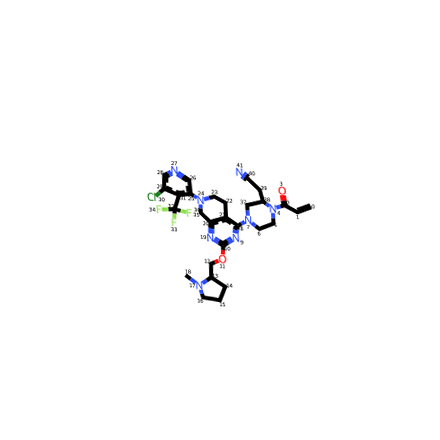 C=CC(=O)N1CCN(c2nc(OCC3CCCN3C)nc3c2CCN(c2cncc(Cl)c2C(F)(F)F)C3)CC1CC#N